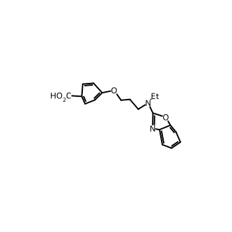 CCN(CCCOc1ccc(C(=O)O)cc1)c1nc2ccccc2o1